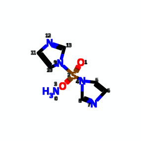 N.O=S(=O)(n1ccnc1)n1ccnc1